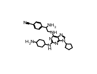 N#Cc1ccc(C(N)CNc2nc(NC3CCC(N)CC3)nc3c2ncn3C2CCCC2)cc1